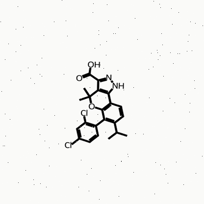 CC(C)c1ccc2c(c1-c1ccc(Cl)cc1Cl)OC(C)(C)c1c(C(=O)O)n[nH]c1-2